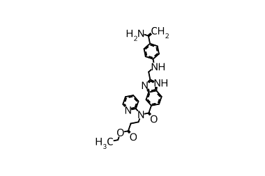 C=C(N)c1ccc(NCc2nc3cc(C(=O)N(CCC(=O)OCC)c4ccccn4)ccc3[nH]2)cc1